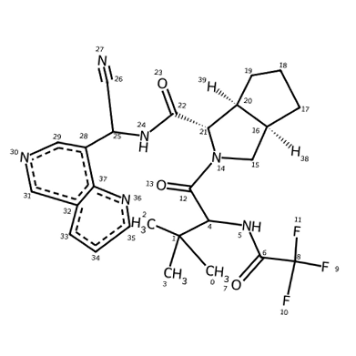 CC(C)(C)C(NC(=O)C(F)(F)F)C(=O)N1C[C@@H]2CCC[C@@H]2[C@H]1C(=O)NC(C#N)c1cncc2cccnc12